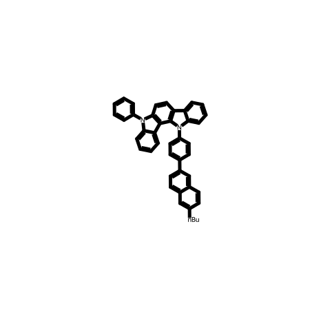 CCCCc1ccc2cc(-c3ccc(-n4c5ccccc5c5ccc6c(c7ccccc7n6-c6ccccc6)c54)cc3)ccc2c1